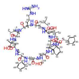 CC[C@H](C)[C@@H]1NC(=O)[C@@H](CCCNC(=N)N)NC(=O)[C@H](CC(C)C)NC(=O)[C@H]([C@H](O)C(C)C)NC(=O)[C@@H](NC(=O)OCc2ccccc2)[C@@H](c2ccccc2)NC(=O)[C@H](CO)NC(=O)[C@H](Cc2ccccc2)NC(=O)CNC(=O)[C@H]([C@H](C)O)NC1=O